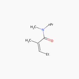 CCC=C(C)C(=O)N(C)CCC